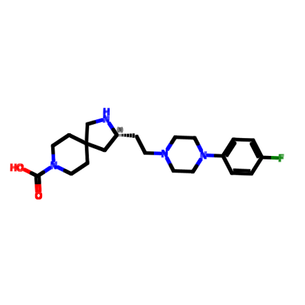 O=C(O)N1CCC2(CC1)CN[C@H](CCN1CCN(c3ccc(F)cc3)CC1)C2